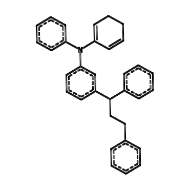 C1=CC(N(c2ccccc2)c2cccc(C(CCc3ccccc3)c3ccccc3)c2)=CCC1